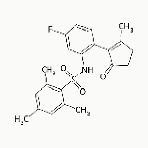 CC1=C(c2ccc(F)cc2NS(=O)(=O)c2c(C)cc(C)cc2C)C(=O)CC1